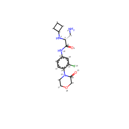 NC[C@@H](NC1CCC1)C(=O)Nc1ccc(N2CCOCC2=O)c(F)c1